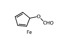 O=COC1C=CC=C1.[Fe]